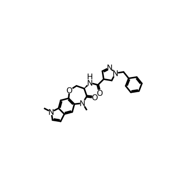 CN1C(=O)[C@H](NC(=O)C2C=NN(Cc3ccccc3)C2)COc2cc3c(ccn3C)cc21